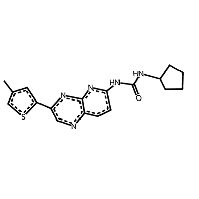 Cc1csc(-c2cnc3ccc(NC(=O)NC4CCCC4)nc3n2)c1